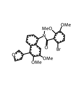 COc1ccc(Br)c(C(=O)N(C)c2cccc3c(-c4ccoc4)c(OC)c(OC)cc23)c1OC